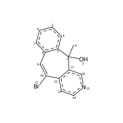 CC1(O)c2ccccc2C=C(Br)c2ccncc21